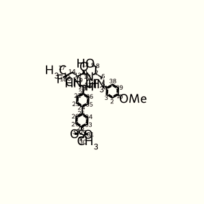 COc1ccc(NC[C@H](CO)NC(=O)[C@H](CC(C)(C)F)N[C@@H](c2ccc(-c3ccc(S(C)(=O)=O)cc3)cc2)C(F)(F)F)cc1